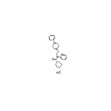 O=C([C@H]1CC[C@@H](CO)CC1)N(CCN1CCN(c2ccccc2)CC1)c1ccccn1